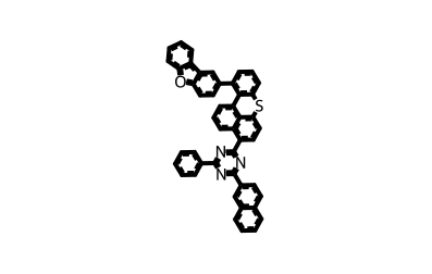 c1ccc(-c2nc(-c3ccc4ccccc4c3)nc(-c3ccc4c5c(cccc35)-c3c(cccc3-c3ccc5oc6ccccc6c5c3)S4)n2)cc1